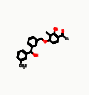 CCC(=O)c1ccc(OCc2cccc(C(O)c3cccc(C(=O)O)c3)c2)c(C)c1O